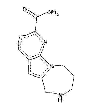 NC(=O)c1ccc2cc3n(c2n1)CCCNC3